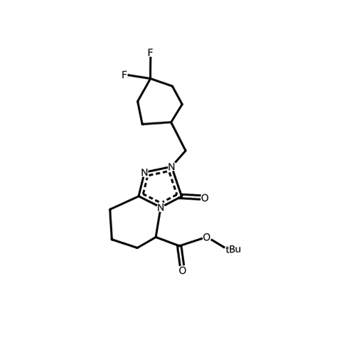 CC(C)(C)OC(=O)C1CCCc2nn(CC3CCC(F)(F)CC3)c(=O)n21